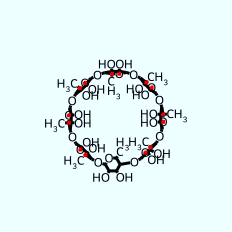 CC1OC2OC3C(C)OC(OC4C(C)OC(OC5C(C)OC(OC6C(C)OC(OC7C(C)OC(OC8C(C)OC(OC9C(C)OC(OC1C(O)C2O)C(O)C9O)C(O)C8O)C(O)C7O)C(O)C6O)C(O)C5O)C(O)C4O)C(O)C3O